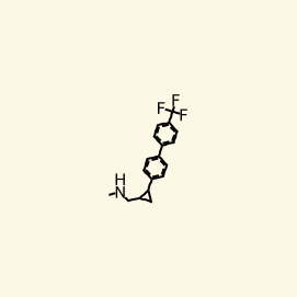 CNCC1CC1c1ccc(-c2ccc(C(F)(F)F)cc2)cc1